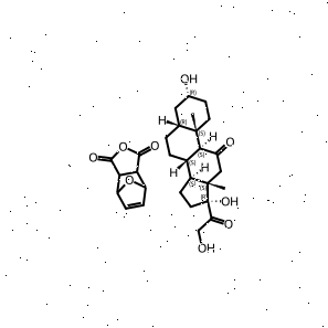 C[C@]12CC[C@@H](O)C[C@H]1CC[C@@H]1[C@@H]2C(=O)C[C@@]2(C)[C@H]1CC[C@]2(O)C(=O)CO.O=C1OC(=O)C2C3C=CC(O3)C12